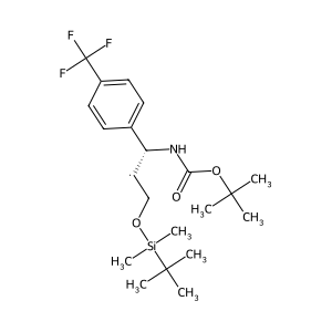 CC(C)(C)OC(=O)N[C@H]([CH]CO[Si](C)(C)C(C)(C)C)c1ccc(C(F)(F)F)cc1